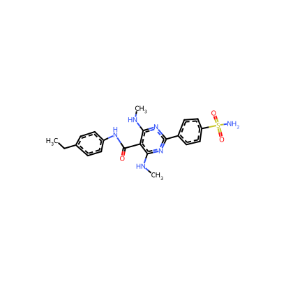 CCc1ccc(NC(=O)c2c(NC)nc(-c3ccc(S(N)(=O)=O)cc3)nc2NC)cc1